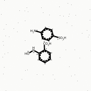 Nc1ccc(S(=O)(=O)O)cc1.O=C(O)c1ccccc1NO